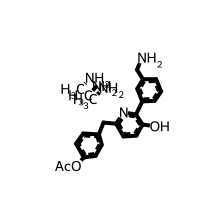 CC(=O)Oc1ccc(Cc2ccc(O)c(-c3cccc(CN)c3)n2)cc1.CN.CN.CN